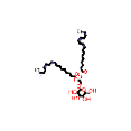 CC/C=C\C/C=C\C/C=C\CCCCCCCC(=O)OC[C@H](CO[C@@H]1O[C@H](CO)[C@@H](O)[C@H](O)[C@@H]1O)OC(=O)CCCCCCC/C=C\C/C=C\C/C=C\CC